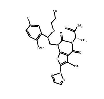 COc1ccc(F)cc1[C@H](Cn1c(=O)n([C@@H](C)C(N)=O)c(=O)c2c(C)c(-n3nccn3)sc21)OCCC#N